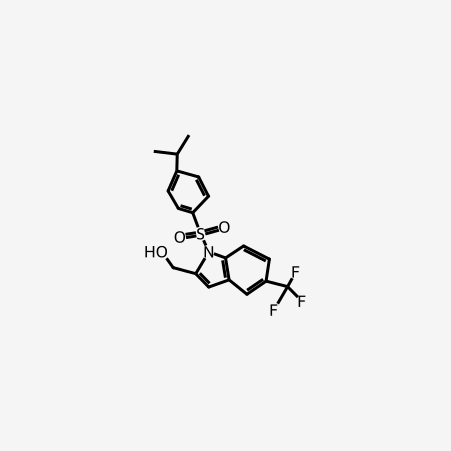 CC(C)c1ccc(S(=O)(=O)n2c(CO)cc3cc(C(F)(F)F)ccc32)cc1